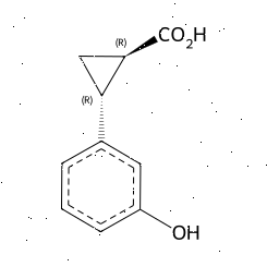 O=C(O)[C@@H]1C[C@H]1c1cccc(O)c1